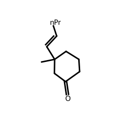 CCCC=CC1(C)CCCC(=O)C1